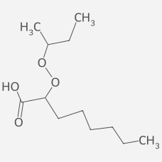 CCCCCCC(OOC(C)CC)C(=O)O